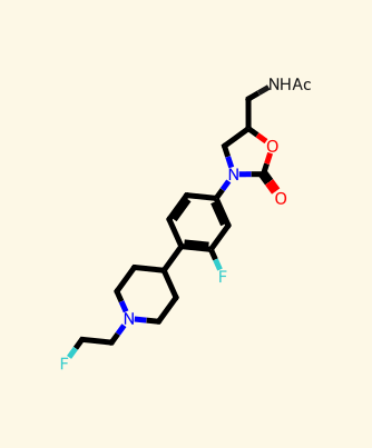 CC(=O)NCC1CN(c2ccc(C3CCN(CCF)CC3)c(F)c2)C(=O)O1